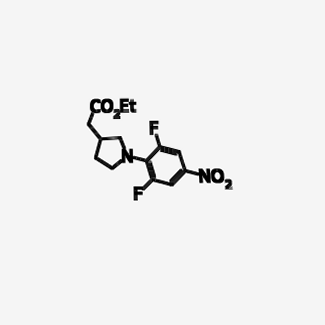 CCOC(=O)CC1CCN(c2c(F)cc([N+](=O)[O-])cc2F)C1